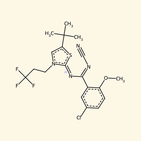 COc1ccc(Cl)cc1C(=NC#N)/N=c1\sc(C(C)(C)C)cn1CCC(F)(F)F